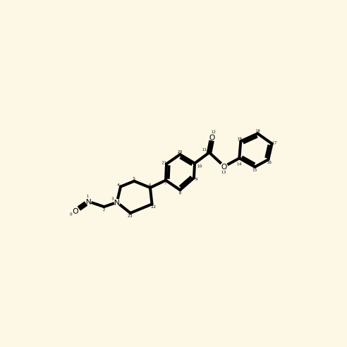 O=NCN1CCC(c2ccc(C(=O)Oc3ccccc3)cc2)CC1